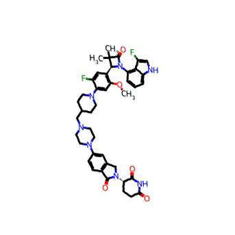 COc1cc(N2CCC(CN3CCN(c4ccc5c(c4)CN([C@H]4CCC(=O)NC4=O)C5=O)CC3)CC2)c(F)cc1[C@@H]1N(c2cccc3[nH]cc(F)c23)C(=O)C1(C)C